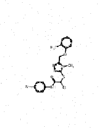 CCC(Sc1nnc(COc2ccccc2C)n1C)C(=O)Nc1ccc(C(C)=O)cc1